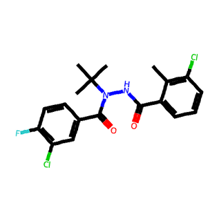 Cc1c(Cl)cccc1C(=O)NN(C(=O)c1ccc(F)c(Cl)c1)C(C)(C)C